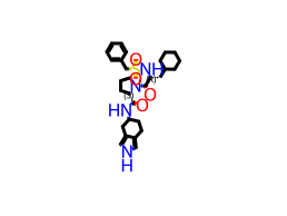 O=C(NC1CCc2c[nH]cc2C1)[C@@H]1CCCN1C(=O)[C@@H](CC1CCCCC1)NS(=O)(=O)Cc1ccccc1